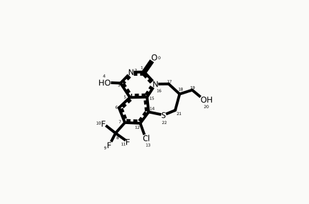 O=c1nc(O)c2cc(C(F)(F)F)c(Cl)c3c2n1CC(CO)CS3